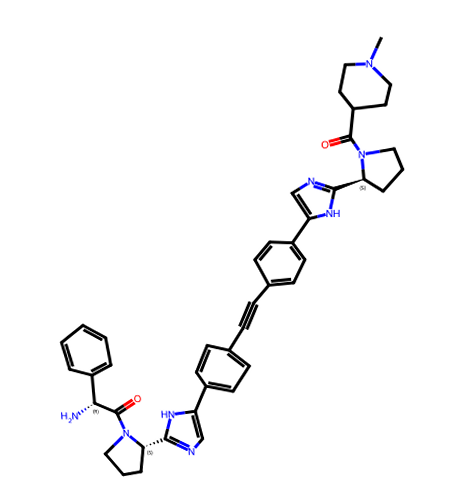 CN1CCC(C(=O)N2CCC[C@H]2c2ncc(-c3ccc(C#Cc4ccc(-c5cnc([C@@H]6CCCN6C(=O)[C@H](N)c6ccccc6)[nH]5)cc4)cc3)[nH]2)CC1